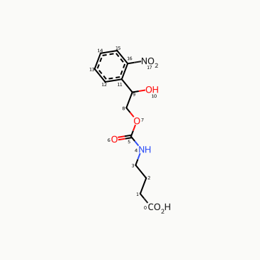 O=C(O)CCCNC(=O)OCC(O)c1ccccc1[N+](=O)[O-]